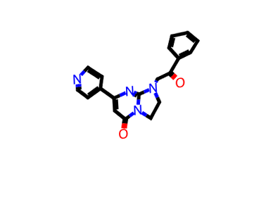 O=C(CN1CCn2c1nc(-c1ccncc1)cc2=O)c1ccccc1